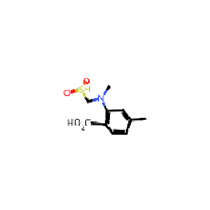 Cc1ccc(C(=O)O)c(N(C)C[SH](=O)=O)c1